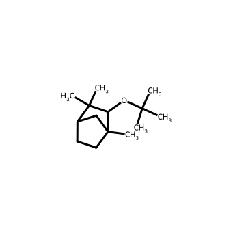 CC(C)(C)OC1C2(C)CCC(C2)C1(C)C